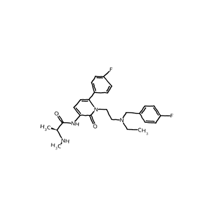 CCN(CCn1c(-c2ccc(F)cc2)ccc(NC(=O)[C@H](C)NC)c1=O)Cc1ccc(F)cc1